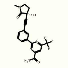 CN1CC[C@@](O)(C#Cc2cccc(-c3nc(C(N)=O)cc(C(F)(F)F)n3)c2)C1=O